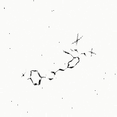 CC(C)(C)OC(=O)N(C(=O)OC(C)(C)C)c1ccc(/C=C/c2ncn(-c3ccc(OC(F)(F)F)cc3)n2)cc1C(=O)O